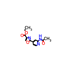 CCOC(=O)c1coc(-c2ccnc(NC(C)=O)c2)n1